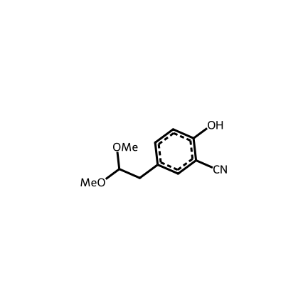 COC(Cc1ccc(O)c(C#N)c1)OC